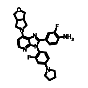 Nc1ccc(-c2nc3c(N4CC5COCC5C4)ccnc3n2-c2ccc(N3CCCC3)cc2F)cc1F